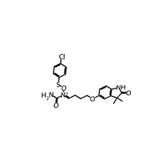 CC1(C)C(=O)Nc2ccc(OCCCC=[N+](OSc3ccc(Cl)cc3)C(N)=O)cc21